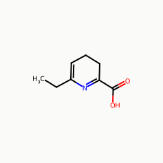 CCC1=CCCC(C(=O)O)=N1